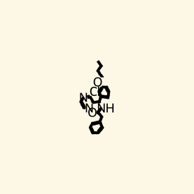 CCCCOc1cccc(C(NC(=O)Cc2ccccc2)c2nccnc2Cl)c1